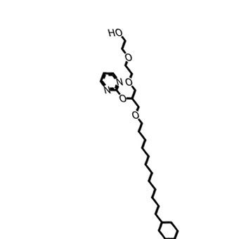 OCCOCCOCC(COCCCCCCCCCCCCC1CCCCC1)Oc1ncccn1